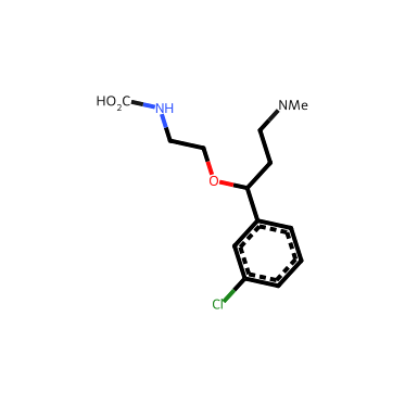 CNCCC(OCCNC(=O)O)c1cccc(Cl)c1